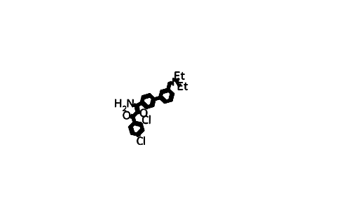 CCN(CC)Cc1cccc(-c2ccc3c(N)c(C(=O)c4ccc(Cl)cc4Cl)oc3c2)c1